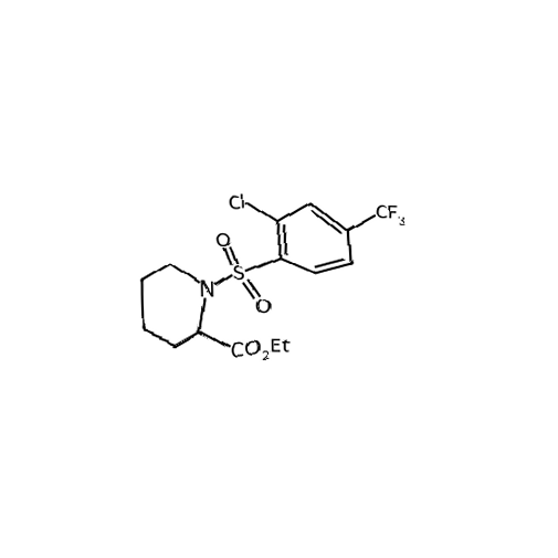 CCOC(=O)C1CCCCN1S(=O)(=O)c1ccc(C(F)(F)F)cc1Cl